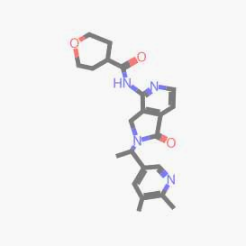 Cc1cc(C(C)N2Cc3c(ccnc3NC(=O)C3CCOCC3)C2=O)cnc1C